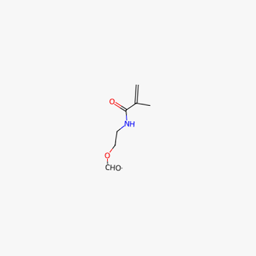 C=C(C)C(=O)NCCO[C]=O